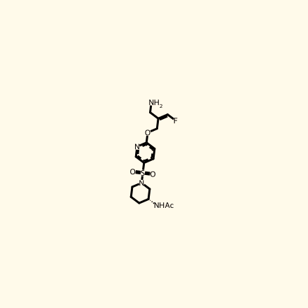 CC(=O)N[C@@H]1CCCN(S(=O)(=O)c2ccc(OC/C(=C\F)CN)nc2)C1